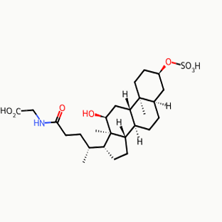 C[C@H](CCC(=O)NCC(=O)O)[C@H]1CC[C@H]2[C@@H]3CC[C@@H]4C[C@H](OS(=O)(=O)O)CC[C@]4(C)[C@H]3C[C@H](O)[C@]12C